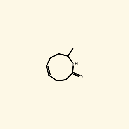 CC1CCC=CCCC(=O)N1